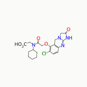 O=C(O)CN(C(=O)COc1c(Cl)ccc2c1CN1CC(=O)NC1=N2)C1CCCCC1